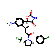 Nc1ccc2c(c1)C(CC(=O)N1[C@H](c3ccc(F)cc3)CC[C@@H]1C(F)(F)F)C[C@@]21OC(=O)NC1=O